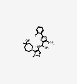 Cn1ncc(NC(O)c2nc(-c3ccccc3F)sc2N)c1N1CCCC(C)(O)CC1